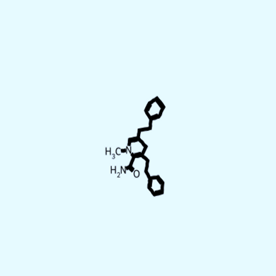 CN1C=C(CCc2ccccc2)CC(CCc2ccccc2)=C1C(N)=O